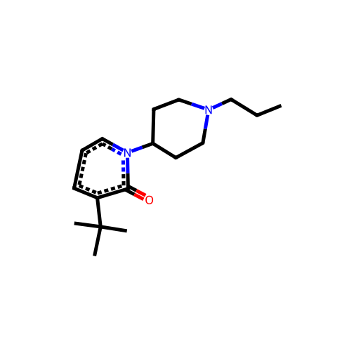 CCCN1CCC(n2cccc(C(C)(C)C)c2=O)CC1